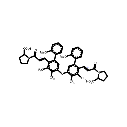 COc1ccccc1-c1cc(Sc2cc(-c3ccccc3OC)c(/C=C/C(=O)N3CCCC3C(=O)O)c(C(F)(F)F)c2C(F)(F)F)c(C(F)(F)F)c(C(F)(F)F)c1/C=C/C(=O)N1CCCC1C(=O)O